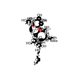 CN[C@H](CC(C)C)C(=O)NC1C(=O)N[C@@H](CC(N)=O)C(=O)N[C@H]2C(=O)N[C@H]3C(=O)N[C@H](C(=O)N[C@@H](C(=O)O)c4cc(O)cc(O)c4-c4cc3ccc4O)[C@H](OC3C[C@](C)(N)[C@@H](O)[C@H](C)O3)c3ccc(c(Cl)c3)Oc3cc2cc(c3O[C@@H]2O[C@H](CO)[C@@H](O[C@@H]3O[C@H](CNCCSCc4ccc(CN(C)C)o4)[C@H](O)[C@H](O)[C@H]3O)[C@H](O)[C@H]2O)Oc2ccc(cc2Cl)[C@H]1O